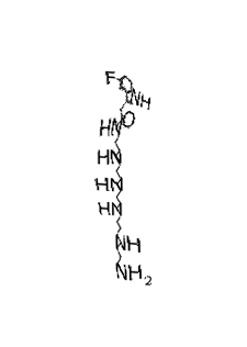 NCCCNCCCCNCCCNCCCNCCCNC(=O)Cc1c[nH]c2ccc(F)cc12